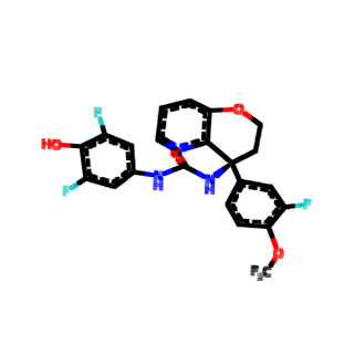 O=C(Nc1cc(F)c(O)c(F)c1)N[C@]1(c2ccc(OC(F)(F)F)c(F)c2)CCOc2cccnc21